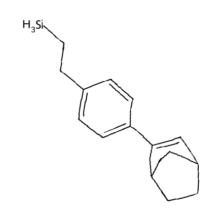 [SiH3]CCc1ccc(C2=CC3CCC2C3)cc1